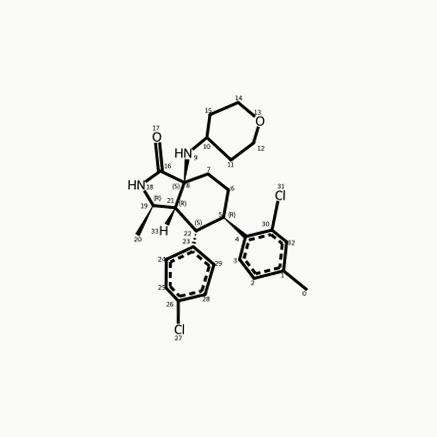 Cc1ccc([C@@H]2CC[C@@]3(NC4CCOCC4)C(=O)N[C@H](C)[C@H]3[C@H]2c2ccc(Cl)cc2)c(Cl)c1